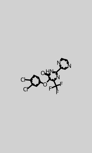 O=c1[nH]c(-c2cnccn2)nc(C(F)(F)F)c1Oc1ccc(Cl)c(Cl)c1